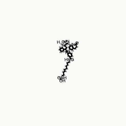 Cn1cncc1-c1cc(-c2nc3cc(C(=O)NCCCCCCCCCCNC(=O)O)ccc3n2-c2ccc3c(c2)CCC(=O)N3)c2ccccc2n1